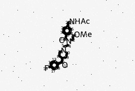 COCCN(CCN1CCC(C(=O)c2ccc(F)cc2)CC1)C(=O)c1ccc(CNC(C)=O)cc1